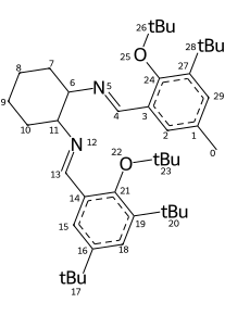 Cc1cc(/C=N/C2CCCCC2/N=C/c2cc(C(C)(C)C)cc(C(C)(C)C)c2OC(C)(C)C)c(OC(C)(C)C)c(C(C)(C)C)c1